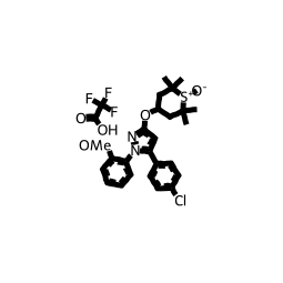 COc1ccccc1-n1nc(OC2CC(C)(C)[S+]([O-])C(C)(C)C2)cc1-c1ccc(Cl)cc1.O=C(O)C(F)(F)F